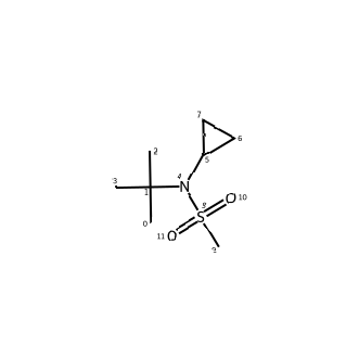 CC(C)(C)N(C1CC1)S(C)(=O)=O